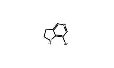 Brc1cncc2c1NCC2